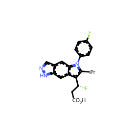 CC(C)c1c([C@H](F)CC(=O)O)c2cc3[nH]ncc3cc2n1-c1ccc(F)cc1